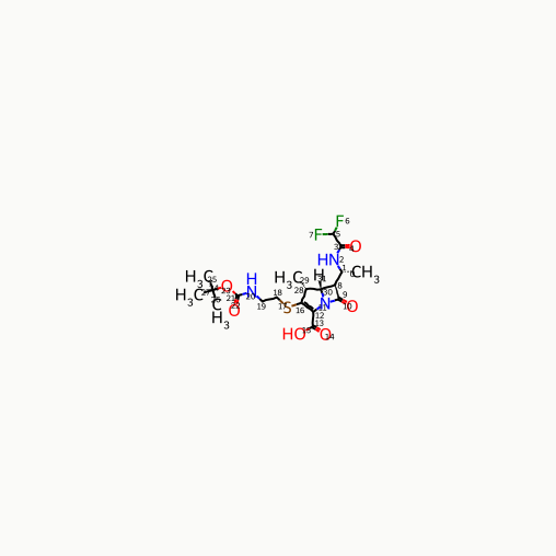 C[C@@H](NC(=O)C(F)F)[C@H]1C(=O)N2C(C(=O)O)=C(SCCNC(=O)OC(C)(C)C)[C@H](C)[C@H]12